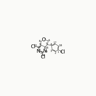 Clc1ccc(C2COCc3c(Cl)nc(Cl)nc32)cc1